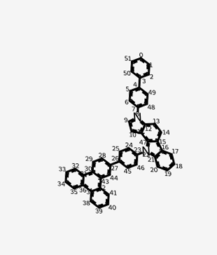 c1ccc(-c2ccc(-n3ccc4c3ccc3c5ccccc5n(-c5ccc(-c6ccc7c8ccccc8c8ccccc8c7c6)cc5)c34)cc2)cc1